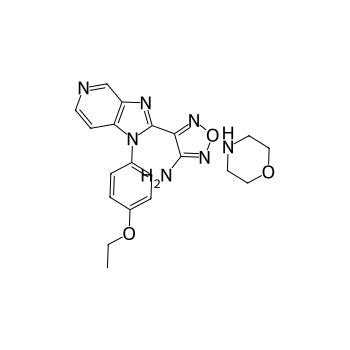 C1COCCN1.CCOc1ccc(-n2c(-c3nonc3N)nc3cnccc32)cc1